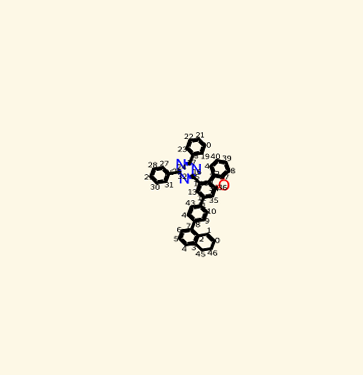 C1=Cc2c(cccc2-c2ccc(-c3cc(-c4nc(-c5ccccc5)nc(-c5ccccc5)n4)c4c(c3)oc3ccccc34)cc2)CC1